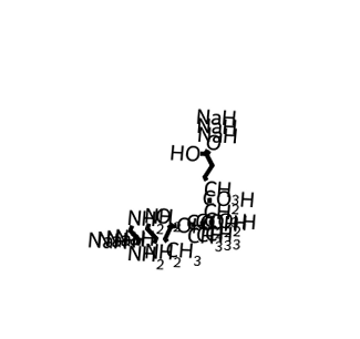 CC(=O)O.CC(=O)O.CC(=O)O.CC(=O)O.CCC(=O)O.CCCC(=O)O.NCCN.NCCN.[NaH].[NaH].[NaH].[NaH].[NaH].[NaH].[NaH]